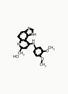 COc1ccc(Nc2cc(C)nc3ccc4nc[nH]c4c23)cc1OC.Cl